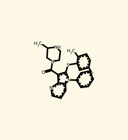 Cc1ccc(F)cc1Sc1c(C(=O)N2CCNC(C)C2)c2ncccc2n1-c1ccccc1